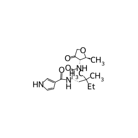 CCC(C)(C)C[C@H](NC(=O)c1cc[nH]c1)C(=O)N[C@@H]1C(=O)CO[C@H]1C